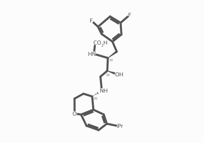 CC(C)c1ccc2c(c1)[C@@H](NC[C@H](O)[C@H](Cc1cc(F)cc(F)c1)NC(=O)O)CCO2